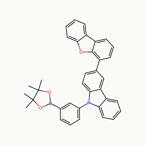 CC1(C)OB(c2cccc(-n3c4ccccc4c4cc(-c5cccc6c5oc5ccccc56)ccc43)c2)OC1(C)C